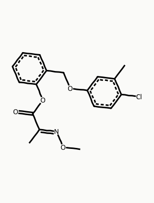 CON=C(C)C(=O)Oc1ccccc1COc1ccc(Cl)c(C)c1